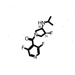 CC(C)N[C@@H]1CN(C(=O)c2c(F)cncc2F)C[C@@H]1F